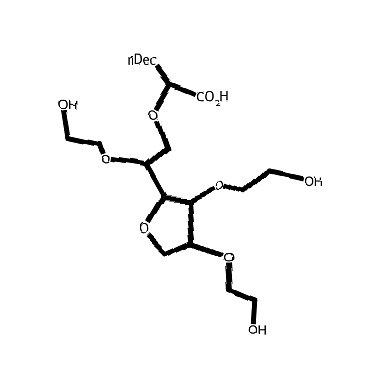 CCCCCCCCCCC(OCC(OCCO)C1OCC(OCCO)C1OCCO)C(=O)O